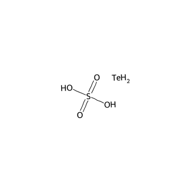 O=S(=O)(O)O.[TeH2]